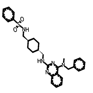 CN(Cc1ccccc1)c1nc(NC[C@H]2CC[C@H](CNS(=O)(=O)c3ccccc3)CC2)nc2ccccc12